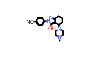 CN1CCN(C2CCCc3nn(-c4ccc(C#N)cc4)c(O)c32)CC1